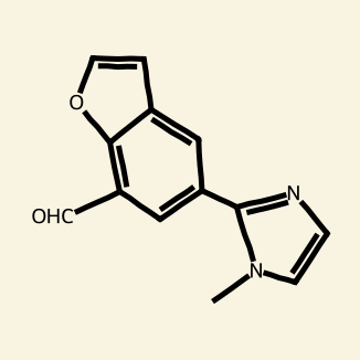 Cn1ccnc1-c1cc(C=O)c2occc2c1